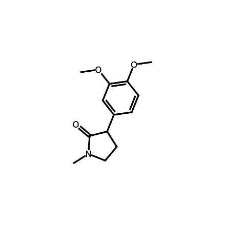 COc1ccc(C2CCN(C)C2=O)cc1OC